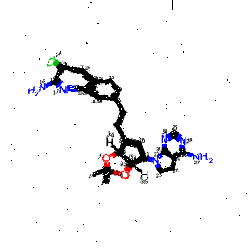 CC1(C)O[C@@H]2C(CCc3ccc4cc(Cl)c(N)nc4c3)=CC(N3CCc4c(N)ncnc43)[C@@H]2O1